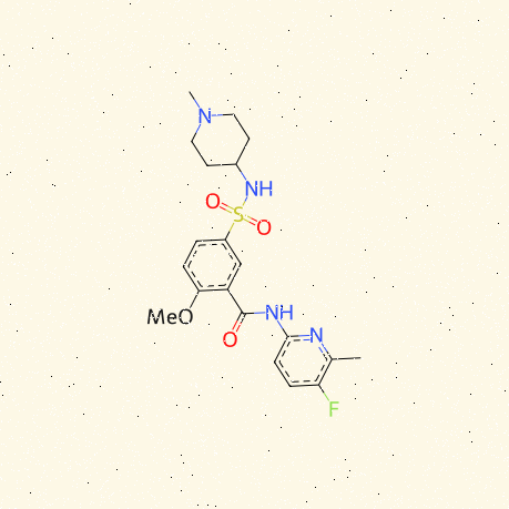 COc1ccc(S(=O)(=O)NC2CCN(C)CC2)cc1C(=O)Nc1ccc(F)c(C)n1